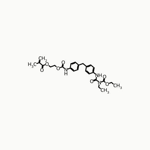 C=C(C)C(=O)OCCOC(=O)Nc1ccc(Cc2ccc(NC(=O)N(CC)C(=O)OCC)cc2)cc1